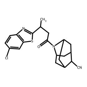 CC(CC(=O)N1C2CC3CC1CC(C2)C3C#N)c1nc2ccc(Cl)cc2s1